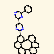 c1ccc(-c2cncc(-c3cnc(-c4cc5ccc6cccc7c8cccc9ccc%10cccc(c(c4)c5c67)c%10c98)nc3)n2)cc1